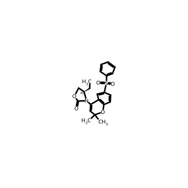 CC[C@@H]1COC(=O)N1C1=CC(C)(C)Oc2ccc(S(=O)(=O)c3ccccc3)cc21